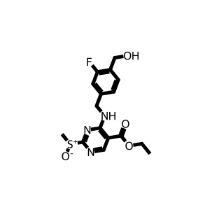 CCOC(=O)c1cnc([S+](C)[O-])nc1NCc1ccc(CO)c(F)c1